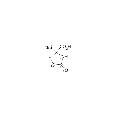 CC(C)(C)C1(C(=O)O)CSC(=O)N1